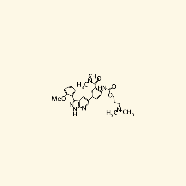 COc1ccccc1-c1n[nH]c2ncc(-c3ccc(NC(=O)OCCCN(C)C)c(C(=O)N(C)C)c3)cc12